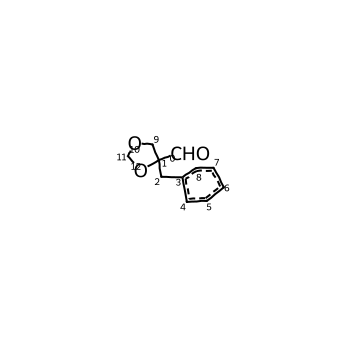 O=CC1(Cc2ccccc2)COCO1